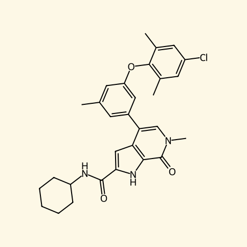 Cc1cc(Oc2c(C)cc(Cl)cc2C)cc(-c2cn(C)c(=O)c3[nH]c(C(=O)NC4CCCCC4)cc23)c1